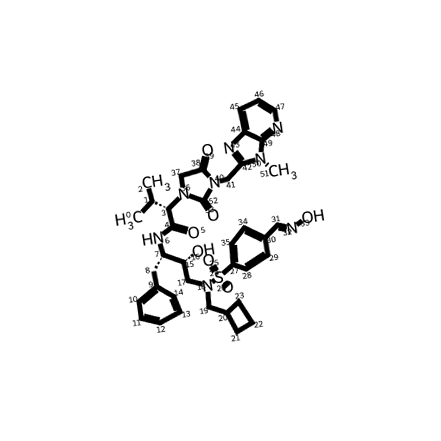 CC(C)[C@@H](C(=O)N[C@@H](Cc1ccccc1)[C@H](O)CN(CC1CCC1)S(=O)(=O)c1ccc(/C=N/O)cc1)N1CC(=O)N(Cc2nc3cccnc3n2C)C1=O